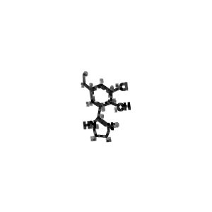 CCc1cc(Cl)c(O)c(C2=NCCN2)c1